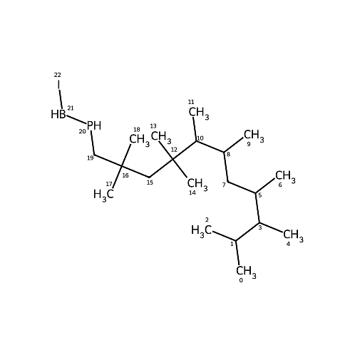 CC(C)C(C)C(C)CC(C)C(C)C(C)(C)CC(C)(C)CPBI